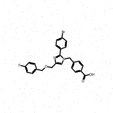 O=C(O)c1ccc(Cn2cc(COCc3ccc(F)cc3)nc2-c2ccc(Br)cc2)cc1